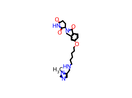 Cn1cncc1CNCCCCCCOc1ccc2c(c1)CN(C1CCC(=O)NC1=O)C2=O